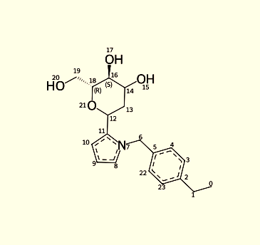 CCc1ccc(Cn2cccc2C2CC(O)[C@H](O)[C@@H](CO)O2)cc1